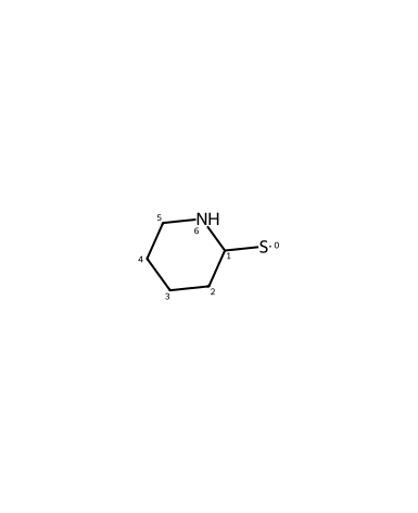 [S]C1CCCCN1